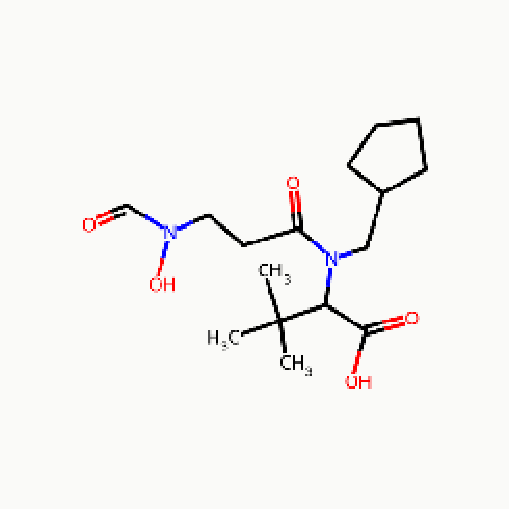 CC(C)(C)C(C(=O)O)N(CC1CCCC1)C(=O)CCN(O)C=O